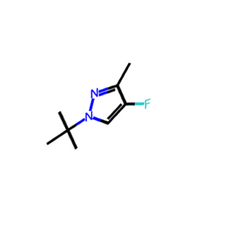 Cc1nn(C(C)(C)C)cc1F